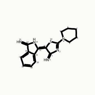 N=C1N=C(N2CCCCC2)SC1=C1NC(=N)c2ccccc21